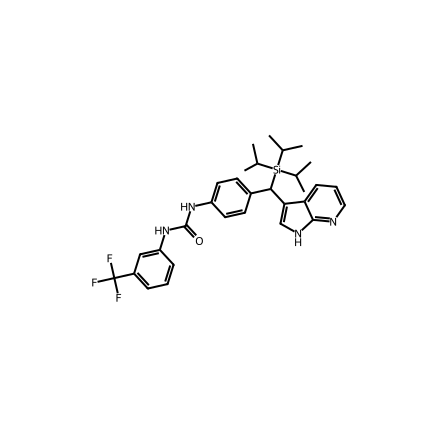 CC(C)[Si](C(C)C)(C(C)C)C(c1ccc(NC(=O)Nc2cccc(C(F)(F)F)c2)cc1)c1c[nH]c2ncccc12